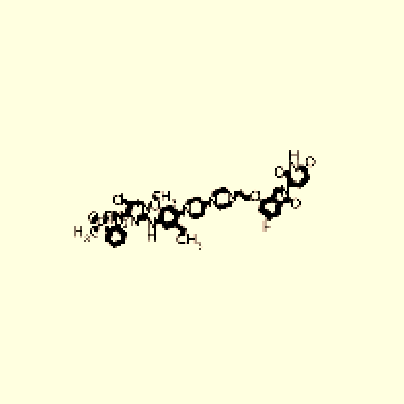 CCc1cc(Nc2ncc(Cl)c(Nc3ccccc3P(C)(C)=O)n2)c(OC)cc1N1CCC(N2CCN(CCOc3cc(F)cc4c3CN(C3CCC(=O)NC3=O)C4=O)CC2)CC1